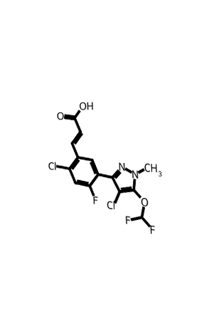 Cn1nc(-c2cc(C=CC(=O)O)c(Cl)cc2F)c(Cl)c1OC(F)F